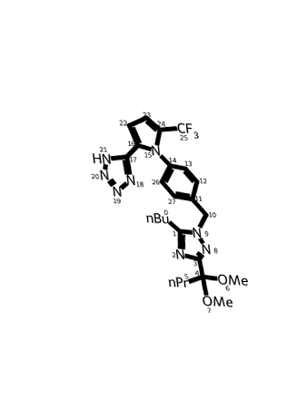 CCCCc1nc(C(CCC)(OC)OC)nn1Cc1ccc(-n2c(-c3nnn[nH]3)ccc2C(F)(F)F)cc1